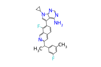 Cc1cc(F)cc(C(C)c2cc3ccc(-c4cn(C5CC5)c5ncnc(N)c45)c(F)c3cn2)c1